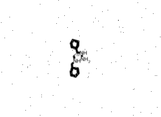 NN[C@H](CNCc1ccccc1)c1ccccc1